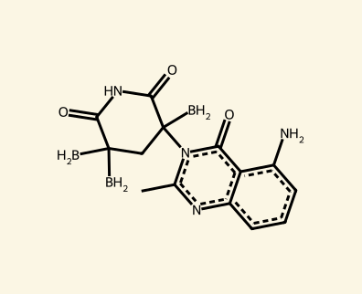 BC1(B)CC(B)(n2c(C)nc3cccc(N)c3c2=O)C(=O)NC1=O